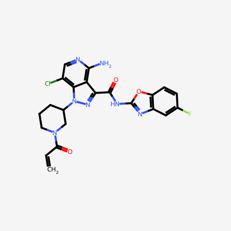 C=CC(=O)N1CCCC(n2nc(C(=O)Nc3nc4cc(F)ccc4o3)c3c(N)ncc(Cl)c32)C1